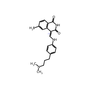 Bc1ccc2c(c1)/C(=C/Nc1ccc(CCCN(C)C)cc1)C(=O)NC2=O